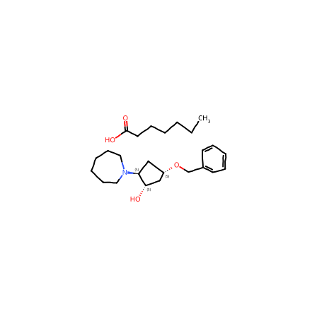 CCCCCCC(=O)O.O[C@H]1C[C@@H](OCc2ccccc2)C[C@@H]1N1CCCCCC1